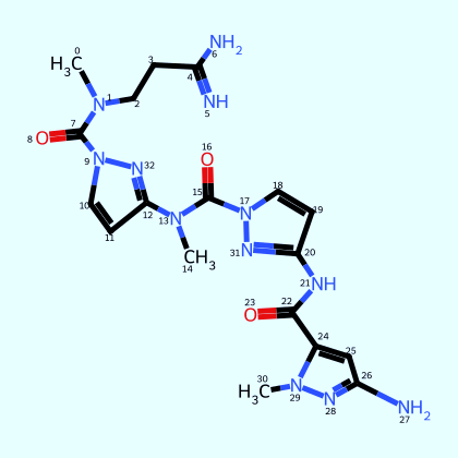 CN(CCC(=N)N)C(=O)n1ccc(N(C)C(=O)n2ccc(NC(=O)c3cc(N)nn3C)n2)n1